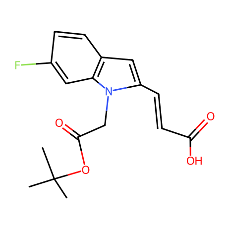 CC(C)(C)OC(=O)Cn1c(C=CC(=O)O)cc2ccc(F)cc21